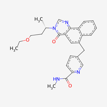 CCOCC[C@H](C)n1cnc2c(cc(Cc3ccc(C(=O)NC)nc3)c3ccccc32)c1=O